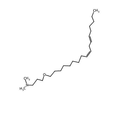 CCCCCC=CC/C=C\CCCCCCCCOCCCN(C)C